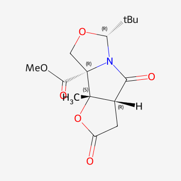 COC(=O)[C@]12CO[C@H](C(C)(C)C)N1C(=O)[C@@H]1CC(=O)O[C@@]12C